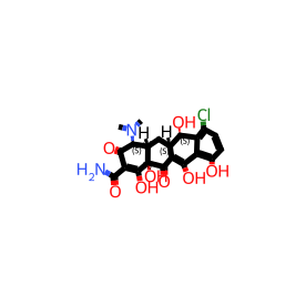 CN(C)[C@@H]1C(=O)C(C(N)=O)=C(O)[C@@]2(O)C(=O)C3=C(O)c4c(O)ccc(Cl)c4[C@@H](O)[C@H]3C[C@@H]12